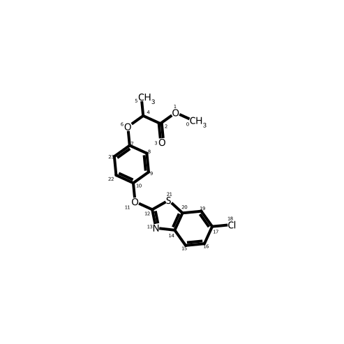 COC(=O)C(C)Oc1ccc(Oc2nc3ccc(Cl)cc3s2)cc1